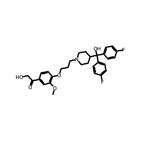 COc1cc(C(=O)CO)ccc1OCCCN1CCC(C(O)(c2ccc(F)cc2)c2ccc(F)cc2)CC1